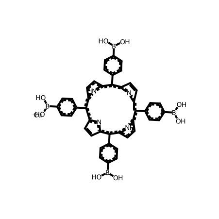 OB(O)c1ccc(-c2c3nc(c(-c4ccc(B(O)O)cc4)c4ccc([nH]4)c(-c4ccc(B(O)O)cc4)c4nc(c(-c5ccc(B(O)O)cc5)c5ccc2[nH]5)C=C4)C=C3)cc1.[Cu]